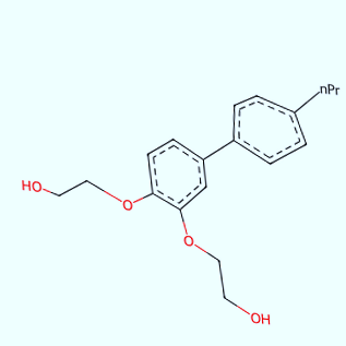 CCCc1ccc(-c2ccc(OCCO)c(OCCO)c2)cc1